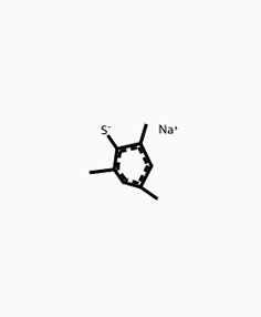 Cc1cc(C)c([S-])c(C)c1.[Na+]